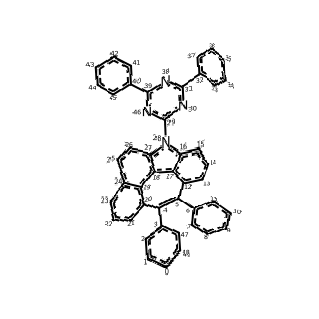 c1ccc(C2=C(c3ccccc3)c3cccc4c3c3c5c2cccc5ccc3n4-c2nc(-c3ccccc3)nc(-c3ccccc3)n2)cc1